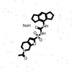 CC(=O)N1CCc2cc(S(=O)(=O)NC(=O)Nc3c4c(cc5c3CCC5)CCC4)oc2C1.[NaH]